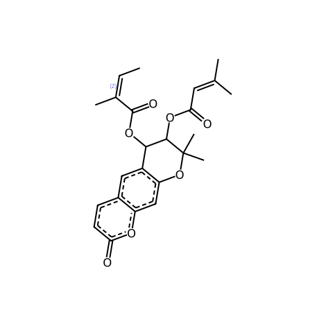 C/C=C(/C)C(=O)OC1c2cc3ccc(=O)oc3cc2OC(C)(C)C1OC(=O)C=C(C)C